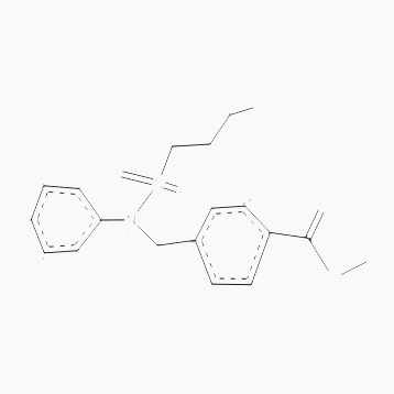 COC(=O)c1ccc(CN(c2ccccc2)S(=O)(=O)CCCCl)cc1